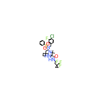 CC1(C)N=C(C2(CCN(Cc3ccc(Cl)c(F)c3)S(=O)(=O)c3ccccc3)CCC2)N[C@H]1C(=O)NCCC1(C(F)(F)F)CC1